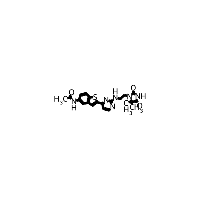 CC(=O)Nc1ccc2sc(-c3ccnc(NCCN4C(=O)NC(=O)C4(C)C)n3)cc2c1